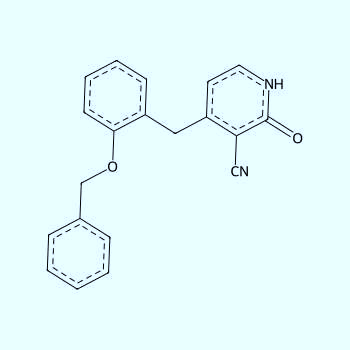 N#Cc1c(Cc2ccccc2OCc2ccccc2)cc[nH]c1=O